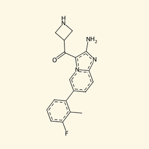 Cc1c(F)cccc1-c1ccc2nc(N)c(C(=O)C3CNC3)n2c1